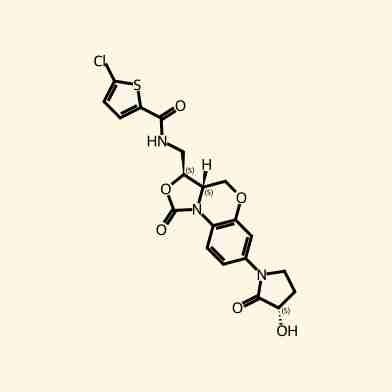 O=C(NC[C@@H]1OC(=O)N2c3ccc(N4CC[C@H](O)C4=O)cc3OC[C@@H]12)c1ccc(Cl)s1